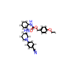 CCOc1ccc(COC(=O)N[C@@H]2CCCC[C@H]2N[C@H]2CCCN(c3ccc(C#N)cc3)C2)cc1